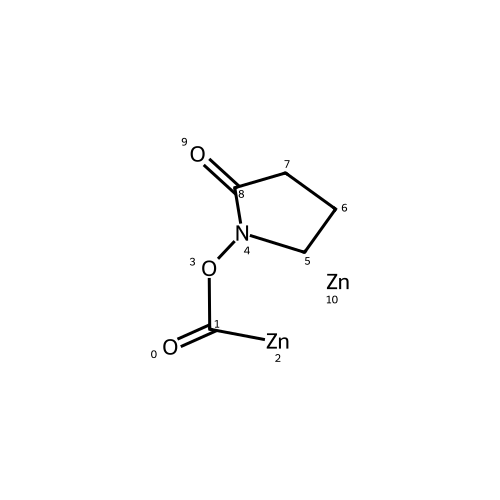 O=[C]([Zn])ON1CCCC1=O.[Zn]